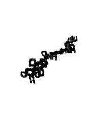 CC(C)(C)OC(=O)NCCCCCNC(=O)c1ccc2c(c1)C(=O)N(C1CCC(=O)NC1=O)C2=O